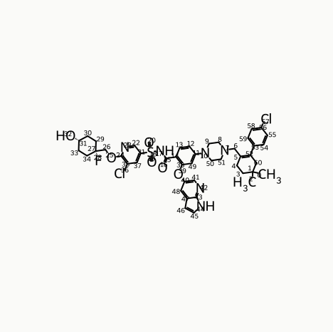 CC1(C)CCC(CN2CCN(c3ccc(C(=O)NS(=O)(=O)c4cnc(OC[C@]5(F)CC[C@@H](O)CC5)c(Cl)c4)c(Oc4cnc5[nH]ccc5c4)c3)CC2)=C(c2ccc(Cl)cc2)C1